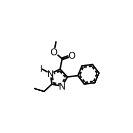 CCc1nc(-c2ccccc2)c(C(=O)OC)n1I